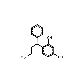 CCCC(c1ccccc1)c1ccc(O)cc1O